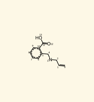 C=CC[N]Cc1ccccc1C(=O)O